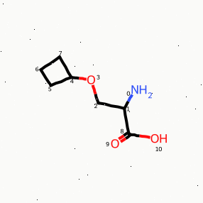 NC(COC1CCC1)C(=O)O